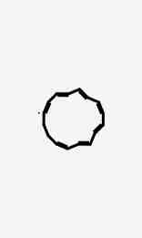 [C]1=C/C=C/C=C/C=C\C=C\C=C\C=C/CC\1